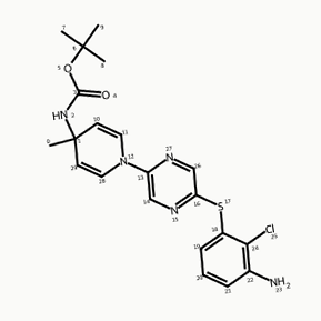 CC1(NC(=O)OC(C)(C)C)C=CN(c2cnc(Sc3cccc(N)c3Cl)cn2)C=C1